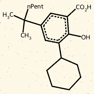 CCCCCC(C)(C)c1cc(C(=O)O)c(O)c(C2CCCCC2)c1